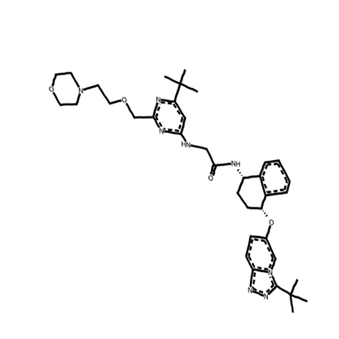 CC(C)(C)c1cc(NCC(=O)N[C@H]2CC[C@@H](Oc3ccc4nnc(C(C)(C)C)n4c3)c3ccccc32)nc(COCCN2CCOCC2)n1